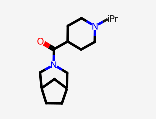 CC(C)N1CCC(C(=O)N2CC3CCC(C3)C2)CC1